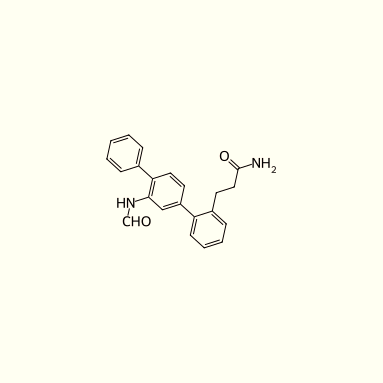 NC(=O)CCc1ccccc1-c1ccc(-c2ccccc2)c(NC=O)c1